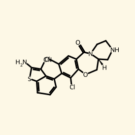 N#Cc1c(N)sc2cccc(-c3c(Cl)cc4c(c3Cl)OC[C@H]3CNCCN3C4=O)c12